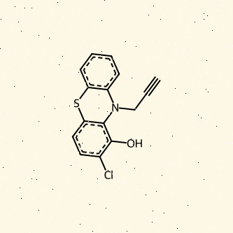 C#CCN1c2ccccc2Sc2ccc(Cl)c(O)c21